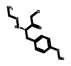 CCCCOc1ccc(C[C@H](BOCN)C(=O)CCl)cc1